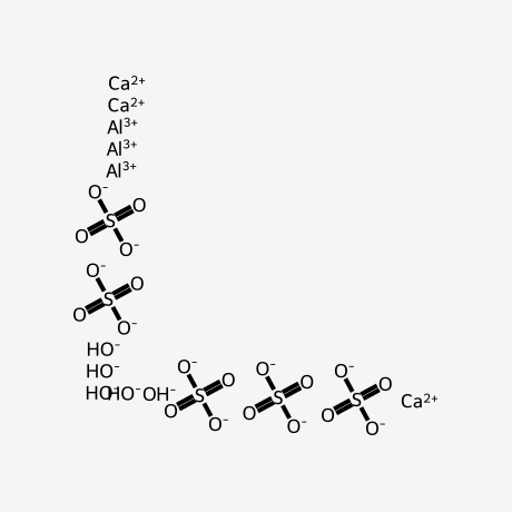 O=S(=O)([O-])[O-].O=S(=O)([O-])[O-].O=S(=O)([O-])[O-].O=S(=O)([O-])[O-].O=S(=O)([O-])[O-].[Al+3].[Al+3].[Al+3].[Ca+2].[Ca+2].[Ca+2].[OH-].[OH-].[OH-].[OH-].[OH-]